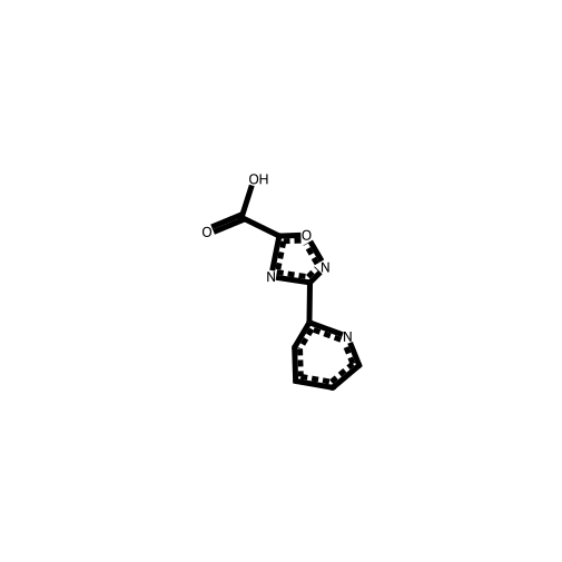 O=C(O)c1nc(-c2ccccn2)no1